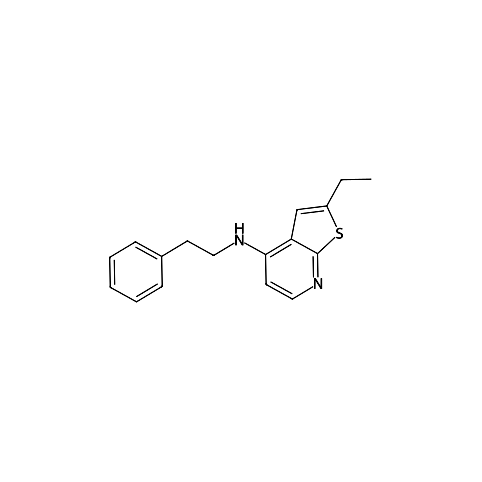 CCc1cc2c(NCCc3ccccc3)ccnc2s1